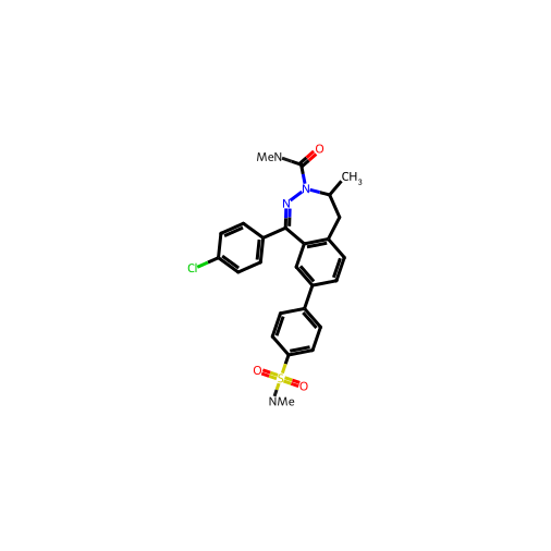 CNC(=O)N1N=C(c2ccc(Cl)cc2)c2cc(-c3ccc(S(=O)(=O)NC)cc3)ccc2CC1C